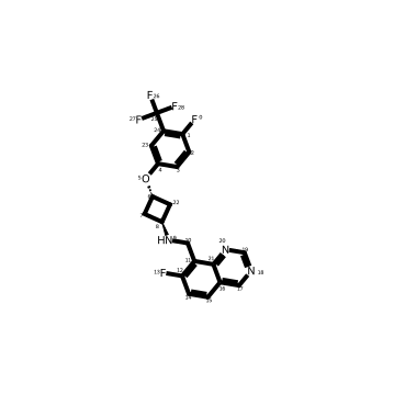 Fc1ccc(O[C@H]2C[C@H](NCc3c(F)ccc4cncnc34)C2)cc1C(F)(F)F